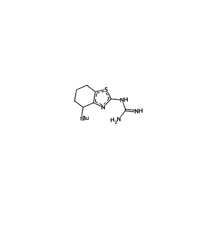 CC(C)(C)C1CCCc2sc(NC(=N)N)nc21